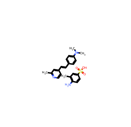 Cc1cc(C=Cc2ccc(N(C)C)cc2)ccn1.Cc1cc(S(=O)(=O)O)ccc1N